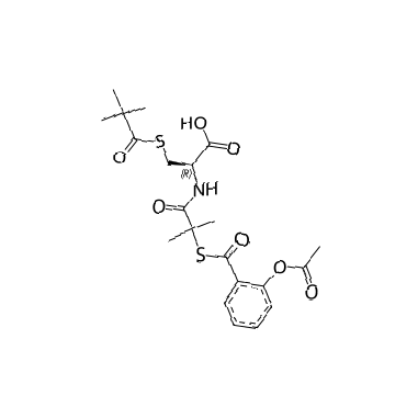 CC(=O)Oc1ccccc1C(=O)SC(C)(C)C(=O)N[C@@H](CSC(=O)C(C)(C)C)C(=O)O